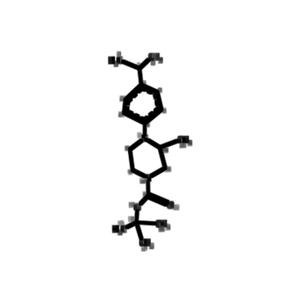 CC(C)c1ccc(N2CCN(C(=O)OC(C)(C)C)CC2C)cc1